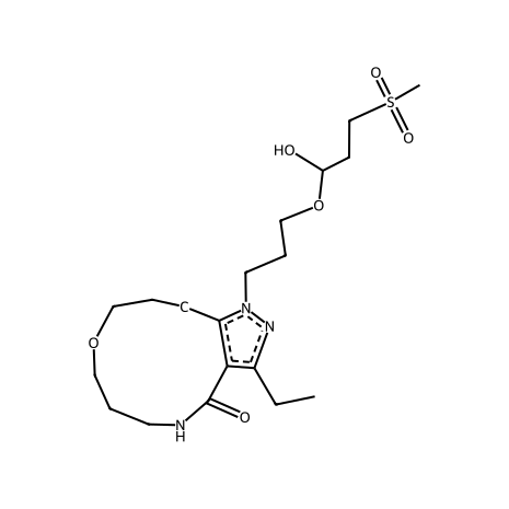 CCc1nn(CCCOC(O)CCS(C)(=O)=O)c2c1C(=O)NCCCOCCC2